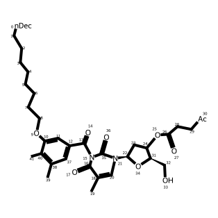 CCCCCCCCCCCCCCCCCCOc1cc(C(=O)n2c(=O)c(C)cn([C@H]3CC(OC(=O)CCC(C)=O)[C@@H](CO)O3)c2=O)cc(C)c1C